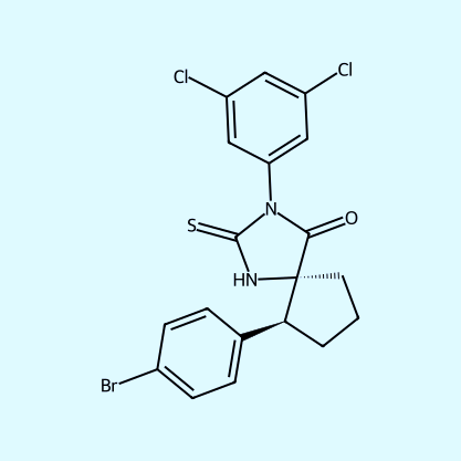 O=C1N(c2cc(Cl)cc(Cl)c2)C(=S)N[C@@]12CCC[C@H]2c1ccc(Br)cc1